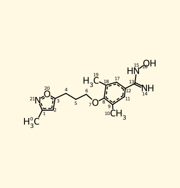 Cc1cc(CCCOc2c(C)cc(C(=N)NO)cc2C)on1